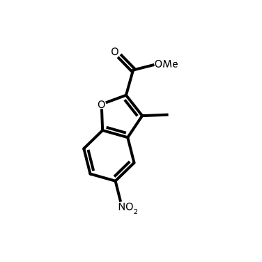 COC(=O)c1oc2ccc([N+](=O)[O-])cc2c1C